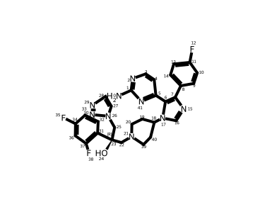 Nc1nccc(-c2c(-c3ccc(F)cc3)ncn2C2CCN(C[C@@](O)(Cn3ccnn3)c3ccc(F)cc3F)CC2)n1